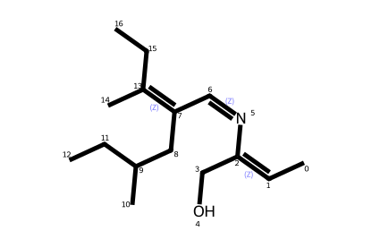 C\C=C(CO)/N=C\C(CC(C)CC)=C(\C)CC